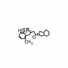 Cc1cccc(C)c1CC(CC(=O)N1CC2CCCCC2C1)C(=O)O